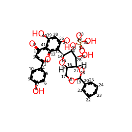 O=c1cc(-c2ccc(O)cc2)oc2c([C@@H]3O[C@@H]4COC(c5ccccc5)O[C@H]4[C@H](O)[C@H]3OS(=O)(=O)O)c(O)cc(O)c12